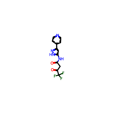 O=C(CC(=O)C(F)(F)F)Nc1cc(-c2ccncc2)n[nH]1